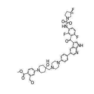 COC(=O)c1ccc(N2CCC(O)(CN3CCN(c4ccc(-c5cnc6[nH]cc(C(=O)c7c(F)ccc(NS(=O)(=O)N8CC[C@@H](F)C8)c7F)c6c5)cc4)CC3)CC2)cc1C=O